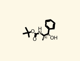 C[C@@H](NC(=O)OC(C)(C)C)[C@@H](O)c1ccccc1